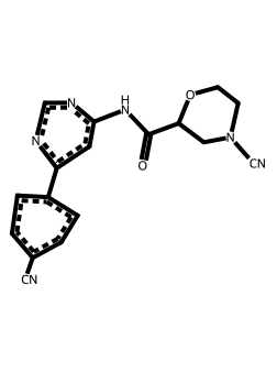 N#Cc1ccc(-c2cc(NC(=O)C3CN(C#N)CCO3)ncn2)cc1